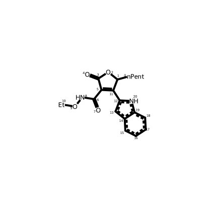 CCCCCC1OC(=O)C(C(=O)NOCC)=C1c1cc2ccccc2[nH]1